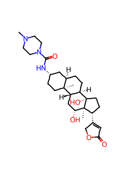 CN1CCN(C(=O)N[C@H]2CC[C@@]3(C)[C@H](CC[C@@H]4[C@@H]3C[C@@H](O)[C@]3(C)[C@@H](C5=CC(=O)OC5)CC[C@]43O)C2)CC1